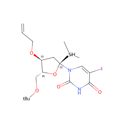 C=CCO[C@H]1C[C@@](n2cc(I)c(=O)[nH]c2=O)([SiH](C)C)O[C@@H]1COC(C)(C)C